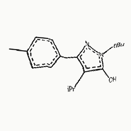 Cc1ccc(-c2nn(C(C)(C)C)c(O)c2C(C)C)cc1